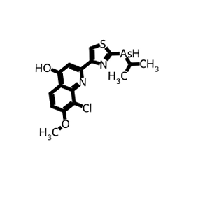 COc1ccc2c(O)cc(-c3csc([AsH]C(C)C)n3)nc2c1Cl